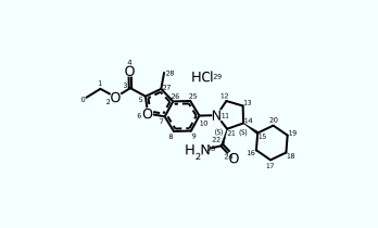 CCOC(=O)c1oc2ccc(N3CC[C@@H](C4CCCCC4)[C@H]3C(N)=O)cc2c1C.Cl